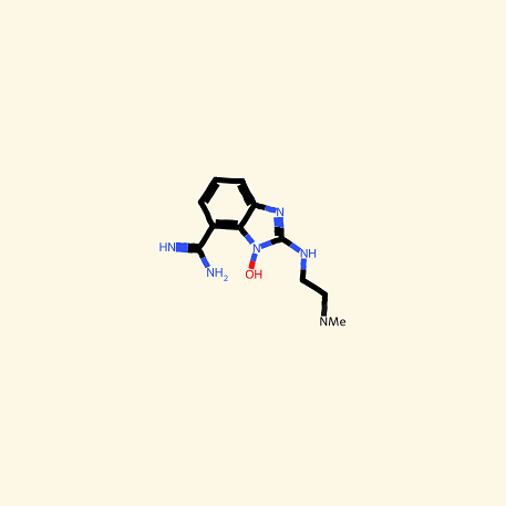 CNCCNc1nc2cccc(C(=N)N)c2n1O